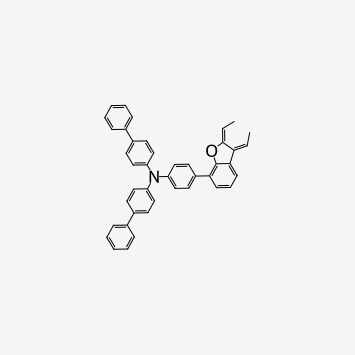 C/C=c1\c(=C/C)oc2c(-c3ccc(N(c4ccc(-c5ccccc5)cc4)c4ccc(-c5ccccc5)cc4)cc3)cccc12